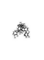 CCCCC1=Cc2c(-c3cccc(C)c3C)cccc2[CH]1[Hf]([Cl])([Cl])([CH]1C(CCCC)=Cc2c(-c3cccc(C)c3C)cccc21)[SiH](C)C